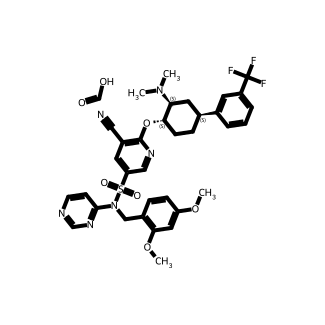 COc1ccc(CN(c2ccncn2)S(=O)(=O)c2cnc(O[C@H]3CC[C@H](c4cccc(C(F)(F)F)c4)C[C@@H]3N(C)C)c(C#N)c2)c(OC)c1.O=CO